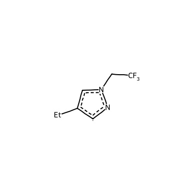 CCc1[c]nn(CC(F)(F)F)c1